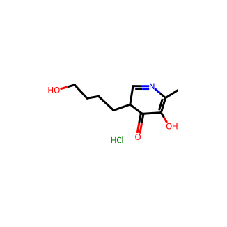 CC1=C(O)C(=O)C(CCCCO)C=N1.Cl